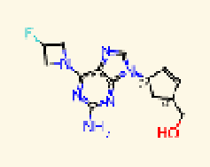 Nc1nc(N2CC(F)C2)c2ncn([C@H]3C=C[C@@H](CO)C3)c2n1